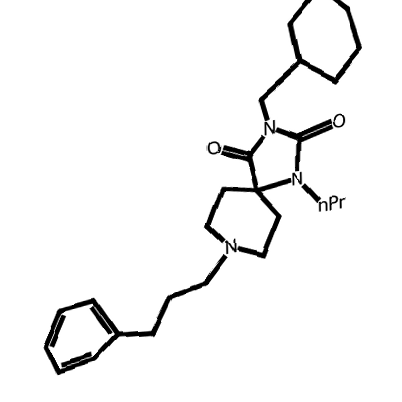 CCCN1C(=O)N(CC2CCCCC2)C(=O)C12CCN(CCCc1ccccc1)CC2